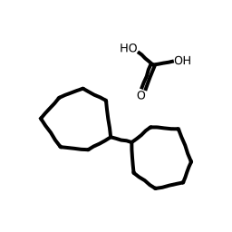 C1CCCC(C2CCCCCC2)CC1.O=C(O)O